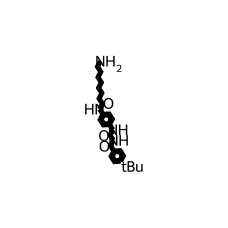 CC(C)(C)c1ccc(C(=O)NC(=O)Nc2ccc(NC(=O)CCCCCCCN)cc2)cc1